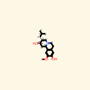 COc1cc2c(cc1O)CCN1C[C@@H](CC(C)C)[C@H](O)CC21